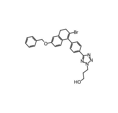 OCCCn1nnc(-c2ccc(C3=C(Br)CCc4cc(OCc5ccccc5)ccc43)cc2)n1